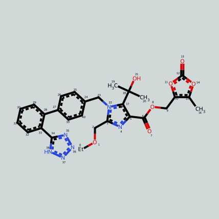 CCOCc1nc(C(=O)OCc2oc(=O)oc2C)c(C(C)(C)O)n1Cc1ccc(-c2ccccc2-c2nnn[nH]2)cc1